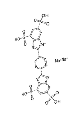 O=S(=O)(O)c1cc(S(=O)(=O)O)c2[n-]c(-c3ccc(-c4nc5c(S(=O)(=O)O)cc(S(=O)(=O)O)cc5[n-]4)cc3)nc2c1.[Na+].[Na+]